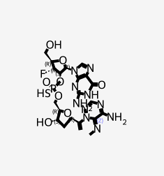 C=C([C@H]1C[C@H](O)[C@@H](COP(=O)(S)O[C@@H]2[C@H](F)[C@@H](CO)O[C@H]2n2cnc3c(=O)[nH]c(N)nc32)O1)n1ncnc(N)/c1=N/C